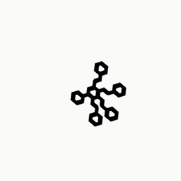 C(=Cc1cc(-c2ccccc2)c(C=Cc2ccccc2)c(C=Cc2ccccc2)c1C=Cc1ccccc1)c1ccccc1